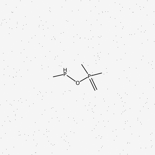 C=P(C)(C)OPC